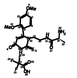 COc1ccc(-c2cc(=O)[nH]c(=S)n2CCNC(=O)[C@@H](C)N)c(OC)c1.O=C(O)C(F)(F)F